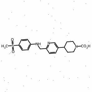 CS(=O)(=O)c1ccc(NCc2ccc(C3CCN(C(=O)O)CC3)cn2)cc1